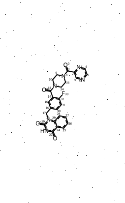 O=C(c1cnccn1)N1CCN(C(=O)c2cc(Cn3c(=O)[nH]c(=O)c4ccccc43)ccc2F)CC1